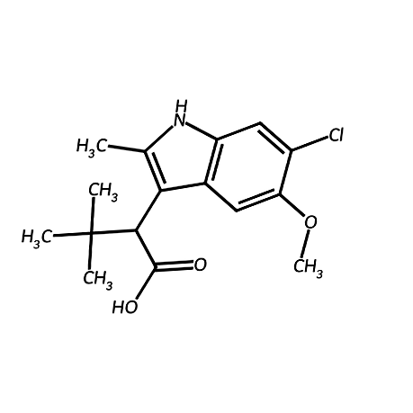 COc1cc2c(C(C(=O)O)C(C)(C)C)c(C)[nH]c2cc1Cl